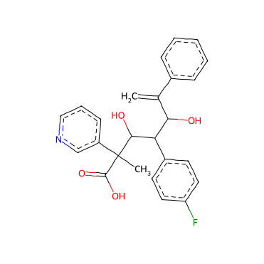 C=C(c1ccccc1)C(O)C(c1ccc(F)cc1)C(O)C(C)(C(=O)O)c1cccnc1